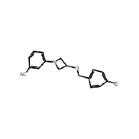 N#Cc1cccc(N2CC(OCc3ccc(Cl)cc3)C2)c1